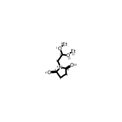 CCOC(CN1C(=O)CCC1=O)OCC